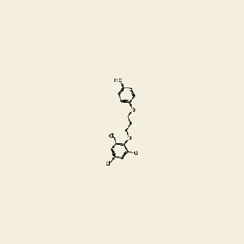 Oc1ccc(OCCCOc2c(Cl)cc(Cl)cc2Cl)cc1